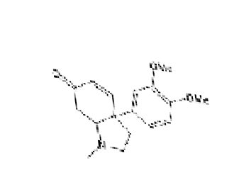 COc1ccc(C23C=CC(=O)CC2N(C)CC3)cc1OC